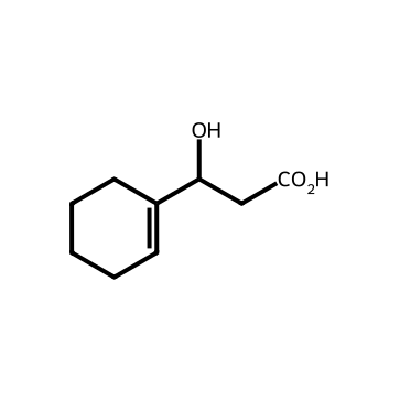 O=C(O)CC(O)C1=CCCCC1